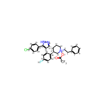 O=C(O[N+]1(CCc2ccccc2)CC[C@@H](c2cc(-c3ccc(Cl)cc3)[nH]n2)[C@H](c2ccc(F)cc2)C1)C(F)(F)F